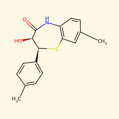 Cc1ccc([C@@H]2Sc3cc(C)ccc3NC(=O)[C@@H]2O)cc1